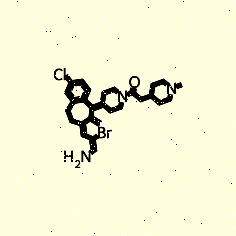 C=C1C(=C2CCN(C(=O)CC3CCN(C)CC3)CC2)c2ccc(Cl)cc2CC/C1=C/C(Br)=C\N